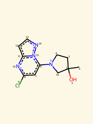 CC1(O)CCN(c2cc(Cl)nc3ccnn23)C1